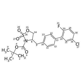 CC(C)(C)OC(=O)N1C(Cc2ccc(-c3cc(Cl)ccc3F)cc2)COS1(=O)=O